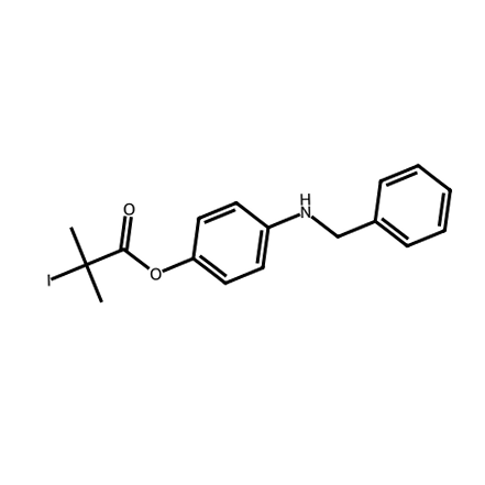 CC(C)(I)C(=O)Oc1ccc(NCc2ccccc2)cc1